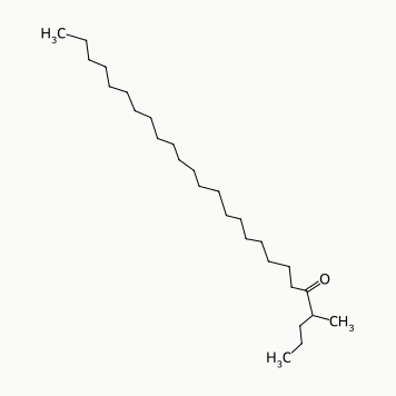 CCCCCCCCCCCCCCCCCCCCCC(=O)C(C)CCC